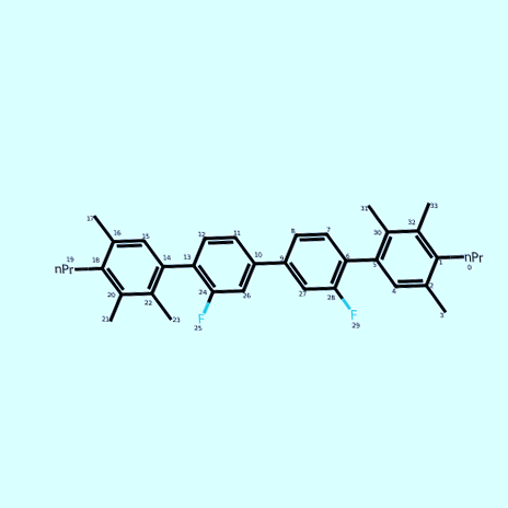 CCCc1c(C)cc(-c2ccc(-c3ccc(-c4cc(C)c(CCC)c(C)c4C)c(F)c3)cc2F)c(C)c1C